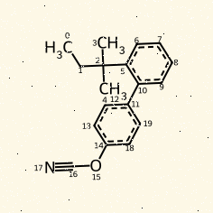 CCC(C)(C)c1ccccc1-c1ccc(OC#N)cc1